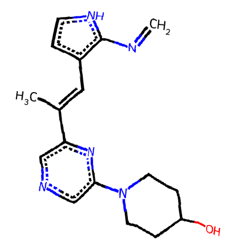 C=Nc1[nH]ccc1/C=C(\C)c1cncc(N2CCC(O)CC2)n1